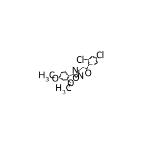 COc1ccc(-c2nc(CC(=O)c3ccc(Cl)cc3Cl)no2)c(OC)c1